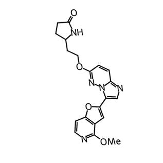 COc1nccc2oc(-c3cnc4ccc(OCCC5CCC(=O)N5)nn34)cc12